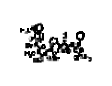 CC[C@H](C)[C@@H]([C@@H](CC(=O)N1CCC[C@H]1[C@H](OC)[C@@H](C)C(=O)N[C@@H](Cc1ccccc1)CS(N)(=O)=O)OC)N(C)C(=O)[C@@H](NC(=O)[C@@H]1[C@H]2CCC(C2)N1C)C(C)C